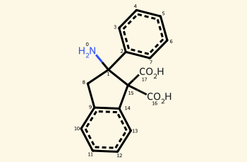 NC1(c2ccccc2)Cc2ccccc2C1(C(=O)O)C(=O)O